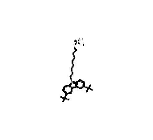 CC(C)(C)c1ccc2c(c1)c1cc(C(C)(C)C)ccc1n2CCCCCCCCOP(=O)(O)O